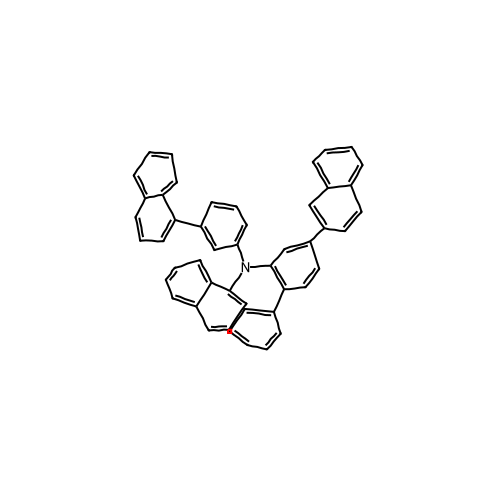 c1ccc(-c2ccc(-c3ccc4ccccc4c3)cc2N(c2cccc(-c3cccc4ccccc34)c2)c2cccc3ccccc23)cc1